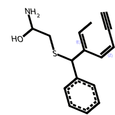 C#C/C=C\C(=C/C)C(SCC(N)O)c1ccccc1